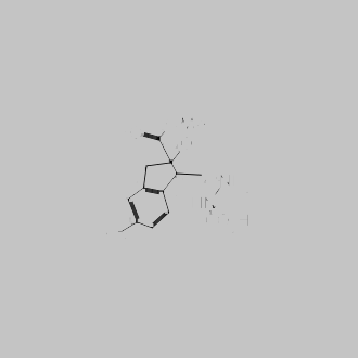 COC(=O)C1(O)Cc2cc(Cl)ccc2C1C.NNC(=O)O